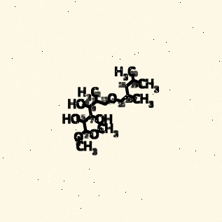 COC(OC)C(O)C(O)C(O)C(C)COCC(C)CC(C)C